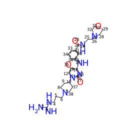 N=C(N)NCCCN1CCC(n2cc3c(nc2=O)Nc2cc(C(=O)NCCN4CCOCC4)ccc2O3)CC1